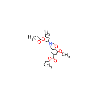 CCCOC(=O)c1cc2c(c(OC)c1)OCN(C(CC)COC(=O)CC)C2